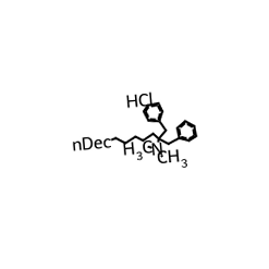 CCCCCCCCCCCCCCCC(Cc1ccccc1)(Cc1ccccc1)N(C)C.Cl